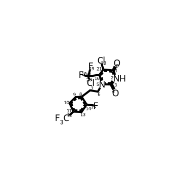 O=c1[nH]c(=O)n(CCc2ccc(C(F)(F)F)cc2F)c(C(F)(F)Cl)c1Cl